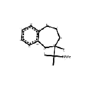 CNC(C)(C)C1(C)CCCc2ccccc2C1